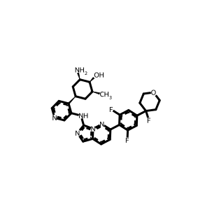 C[C@H]1C[C@@H](c2ccncc2Nc2ncc3ccc(-c4c(F)cc(C5(F)CCOCC5)cc4F)nn23)C[C@@H](N)[C@H]1O